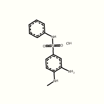 CNc1ccc(S(=O)(=O)Nc2ccccc2)cc1N.Cl